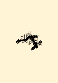 CC(C)C[C@H](NC(=O)[C@H](CCC1CCCCC1)NC(=O)[C@@H]1CCCN1C(=O)c1ccc(F)cc1)C(=O)NC(C)(C)C(=O)N[C@@H](CC(C)C)C(=O)N[C@@H](CC(C)C)C(=O)NC(C)(C)C(=O)NC(C)(C)C(=O)NCCC(=O)NCCN1CCOCC1